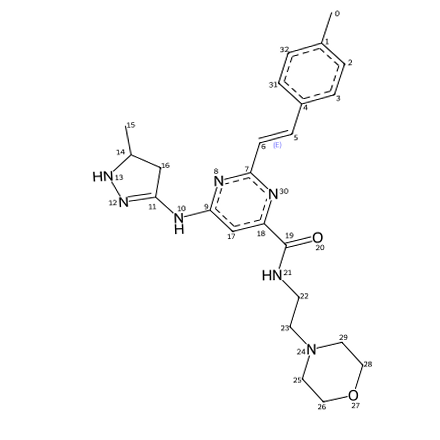 Cc1ccc(/C=C/c2nc(NC3=NNC(C)C3)cc(C(=O)NCCN3CCOCC3)n2)cc1